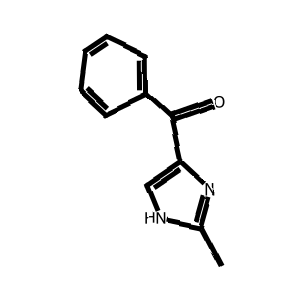 Cc1nc(C(=O)c2ccccc2)c[nH]1